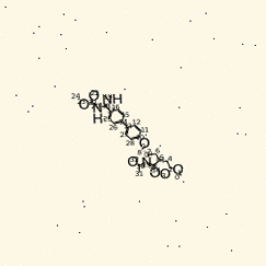 COC(=O)C[C@@H]1C[C@@H](COc2ccc(-c3ccc(C(=N)NC(=O)OC)cc3)cc2)N(C(C)=O)C1=O